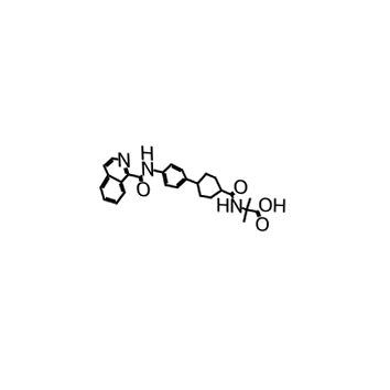 CC(C)(NC(=O)C1CCC(c2ccc(NC(=O)c3nccc4ccccc34)cc2)CC1)C(=O)O